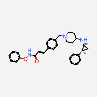 O=C(C=Cc1ccc(CN2CCC(N[C@@H]3C[C@H]3c3ccccc3)CC2)cc1)NOc1ccccc1